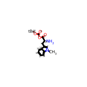 Cn1cc(C[C@@H](N)C(=O)OC(=O)OC(C)(C)C)c2ccccc21